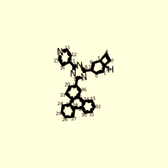 C1=C[C@H]2C=CC2C=C1c1nc(-c2ccncc2)nc(-c2ccc3c4ccccc4c4ccccc4c3c2)n1